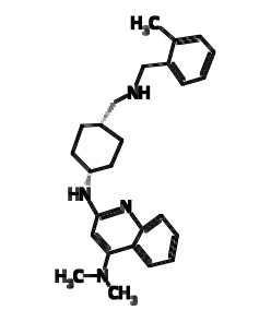 Cc1ccccc1CNC[C@H]1CC[C@@H](Nc2cc(N(C)C)c3ccccc3n2)CC1